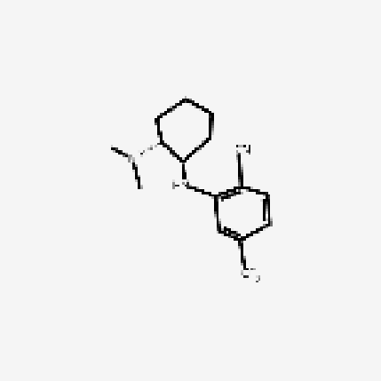 CN(C)[C@@H]1CCCC[C@H]1Nc1cc(C(F)(F)F)ccc1C#N